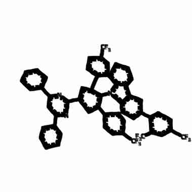 FC(F)(F)c1ccc(-c2cc(-c3nc(-c4ccccc4)cc(-c4ccccc4)n3)cc(-c3ccc(C(F)(F)F)cc3)c2-n2c3ccccc3c3cc(-c4ccc(C(F)(F)F)cc4C(F)(F)F)ccc32)cc1